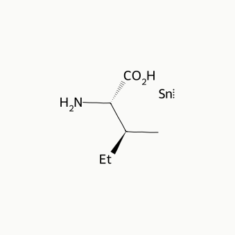 CC[C@H](C)[C@H](N)C(=O)O.[Sn]